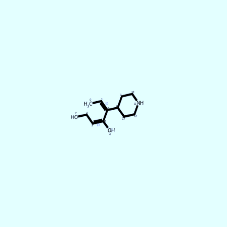 C/C=C(\C(O)=C/CO)C1CCNCC1